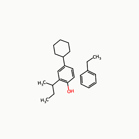 CCC(C)c1cc(C2CCCCC2)ccc1O.CCc1ccccc1